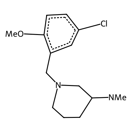 CNC1CCCN(Cc2cc(Cl)ccc2OC)C1